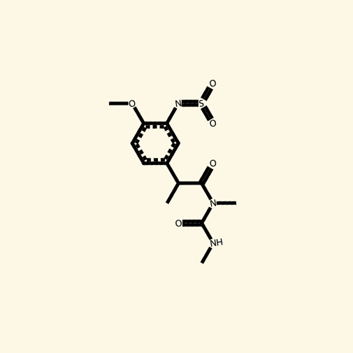 CNC(=O)N(C)C(=O)C(C)c1ccc(OC)c(N=S(=O)=O)c1